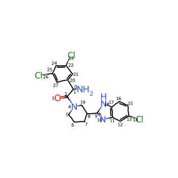 NC(C(=O)N1CCCC(c2nc3cc(Cl)ccc3[nH]2)C1)c1cc(Cl)cc(Cl)c1